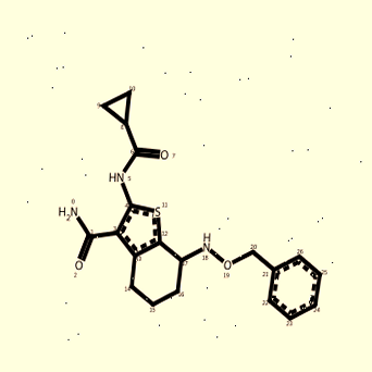 NC(=O)c1c(NC(=O)C2CC2)sc2c1CCCC2NOCc1ccccc1